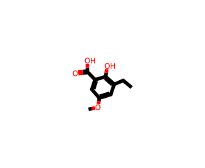 CCc1cc(OC)cc(C(=O)O)c1O